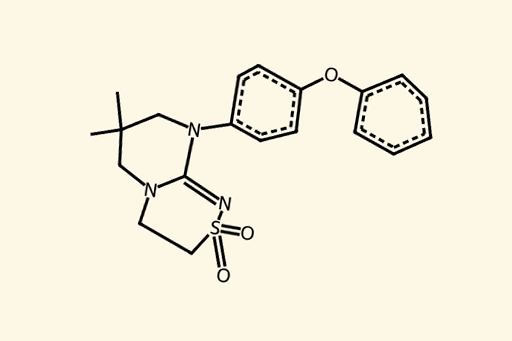 CC1(C)CN2CCS(=O)(=O)N=C2N(c2ccc(Oc3ccccc3)cc2)C1